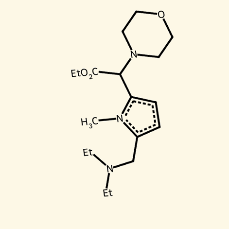 CCOC(=O)C(c1ccc(CN(CC)CC)n1C)N1CCOCC1